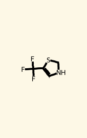 FC(F)(F)C1=[C]NCS1